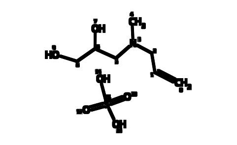 C=CCN(C)CC(O)CO.O=S(=O)(O)O